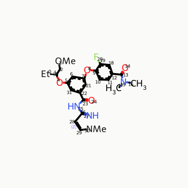 CC[C@@H](COC)Oc1cc(Oc2ccc(C(=O)N(C)C)cc2F)cc(C(=O)NC(=N)/C=C\NC)c1